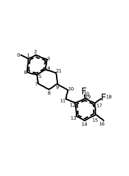 Cc1ccc2c(c1)CCC(CCc1ccc(C)c(F)c1F)C2